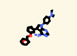 CN(C)C1CCC(n2cc(-c3cccc(OCC45CCC(CC4)O5)c3)c3c(N)ncnc32)CC1